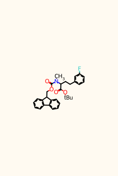 CN(C(=O)OCC1c2ccccc2-c2ccccc21)C(CCc1cccc(F)c1)C(=O)OC(C)(C)C